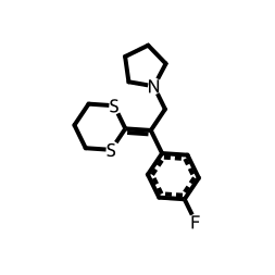 Fc1ccc(C(CN2CCCC2)=C2SCCCS2)cc1